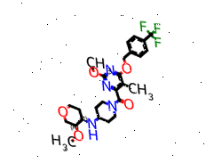 COc1nc(OCc2ccc(C(F)(F)F)cc2)c(C)c(C(=O)N2CCC(N[C@@H]3CCOC[C@@H]3OC)CC2)n1